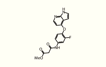 COC(=O)CC(=O)Nc1ccc(Oc2ccnc3[nH]ccc23)c(F)c1